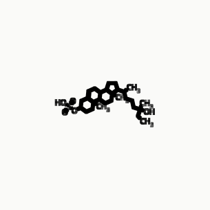 CCC(C)(O)CCCC(C)C1CCC2C3CC=C4CC(OS(=O)(=O)O)CCC4(C)C3CCC12C